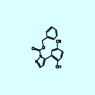 N#Cc1ccc(O)c(-c2ccnn2C(=O)OCc2ccccc2)c1